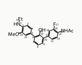 CCNc1ccc(-c2cccc(-c3ccc(NC(C)=O)c(F)c3)c2O)cc1OC